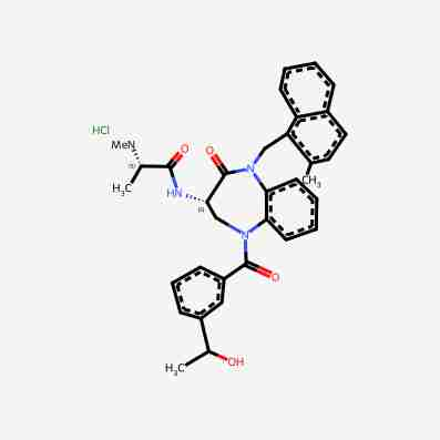 CN[C@@H](C)C(=O)N[C@H]1CN(C(=O)c2cccc(C(C)O)c2)c2ccccc2N(Cc2c(C)ccc3ccccc23)C1=O.Cl